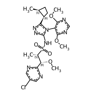 COc1ncnc(OC)c1-n1c(NS(=O)(=O)[C@@H](C)[C@H](OC)c2ncc(Cl)cn2)nnc1[C@@H]1CC[C@@H]1C